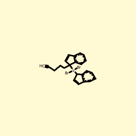 C#CCCC[C]1([V]([Br])([Br])[CH]2C=Cc3ccccc32)C=Cc2ccccc21